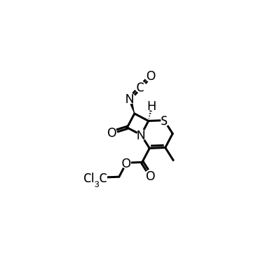 CC1=C(C(=O)OCC(Cl)(Cl)Cl)N2C(=O)[C@@H](N=C=O)[C@H]2SC1